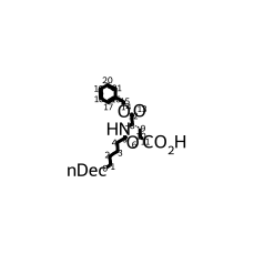 CCCCCCCCCCCCCCC(=O)N[C@@H](CCC(=O)O)C(=O)OCc1ccccc1